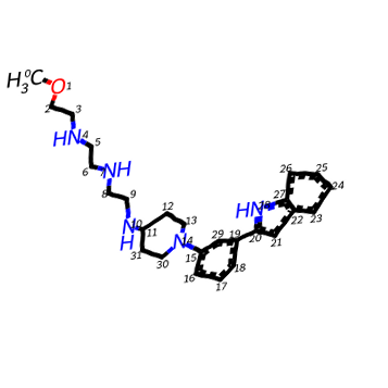 COCCNCCNCCNC1CCN(c2cccc(-c3cc4ccccc4[nH]3)c2)CC1